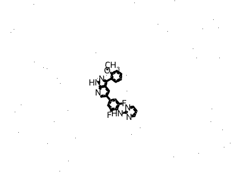 COc1ccccc1-c1n[nH]c2ncc(-c3cc(F)c(Nc4ncccn4)c(F)c3)cc12